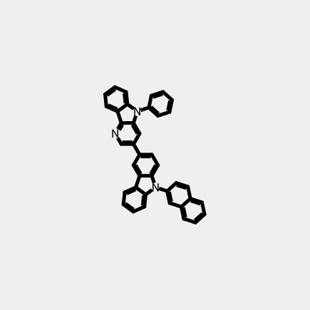 c1ccc(-n2c3ccccc3c3ncc(-c4ccc5c(c4)c4ccccc4n5-c4ccc5ccccc5c4)cc32)cc1